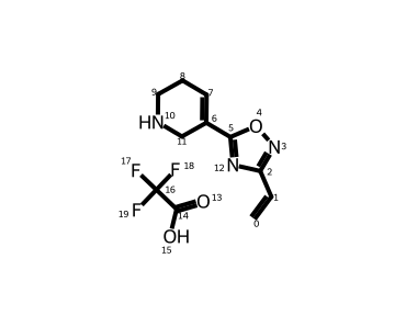 C=Cc1noc(C2=CCCNC2)n1.O=C(O)C(F)(F)F